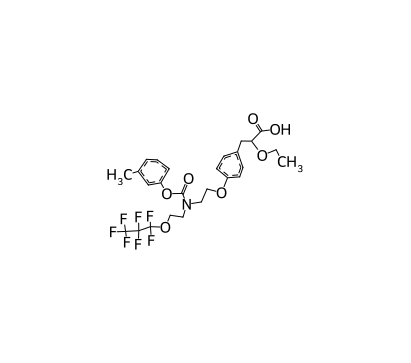 CCOC(Cc1ccc(OCCN(CCOC(F)(F)C(F)(F)C(F)(F)F)C(=O)Oc2cccc(C)c2)cc1)C(=O)O